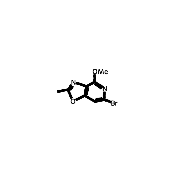 COc1nc(Br)cc2oc(C)nc12